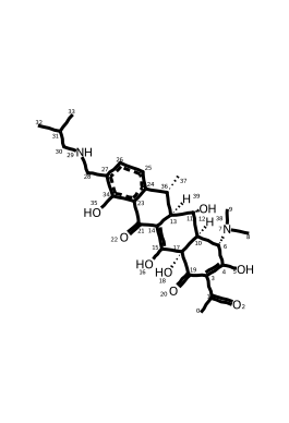 CC(=O)C1=C(O)[C@@H](N(C)C)[C@@H]2[C@@H](O)[C@H]3C(=C(O)[C@]2(O)C1=O)C(=O)c1c(ccc(CNCC(C)C)c1O)[C@@H]3C